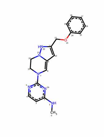 CNc1ccnc(N2C=C3C=C(COc4ccccc4)NN3CC2)n1